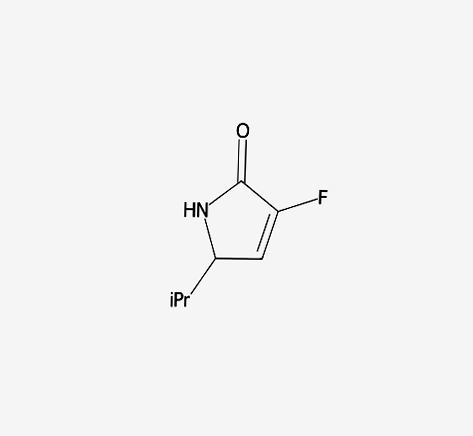 CC(C)C1C=C(F)C(=O)N1